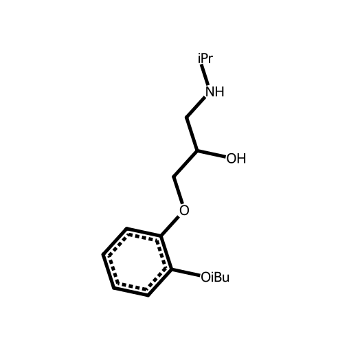 CC(C)COc1ccccc1OCC(O)CNC(C)C